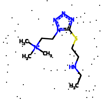 CCNCCSc1nnnn1CC[N+](C)(C)C